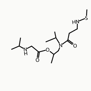 CSNCCC(=O)N(CC(C)OC(=O)CNC(C)C)C(C)C